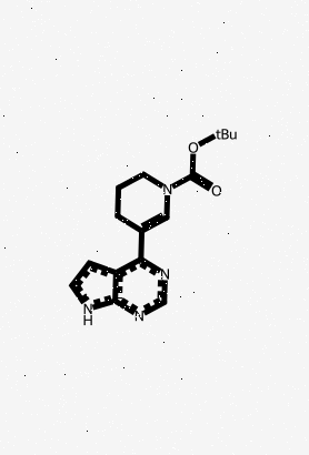 CC(C)(C)OC(=O)N1C=C(c2ncnc3[nH]ccc23)CCC1